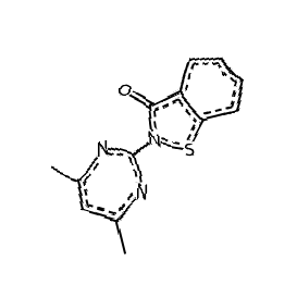 Cc1cc(C)nc(-n2sc3ccccc3c2=O)n1